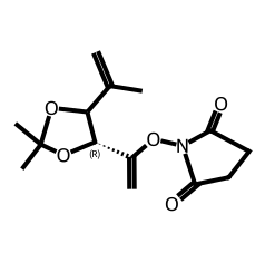 C=C(C)C1OC(C)(C)O[C@H]1C(=C)ON1C(=O)CCC1=O